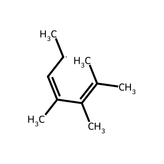 C[CH]C=C(C)C(C)=C(C)C